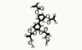 C=C(C)C(=O)Oc1cc(OC(=O)C(=C)C)cc(-c2ccc(OC(=O)C(=C)COC)c(OC(=O)C(=C)COC)c2)c1